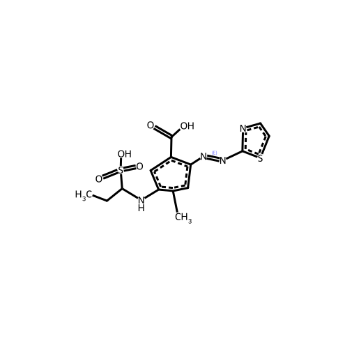 CCC(Nc1cc(C(=O)O)c(/N=N/c2nccs2)cc1C)S(=O)(=O)O